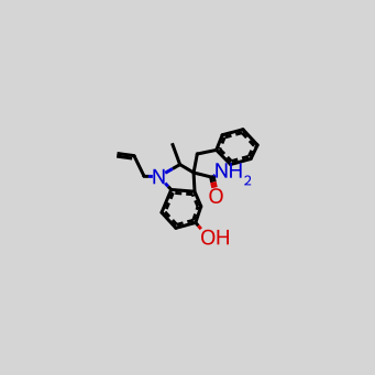 C=CCN1c2ccc(O)cc2C(Cc2ccccc2)(C(N)=O)C1C